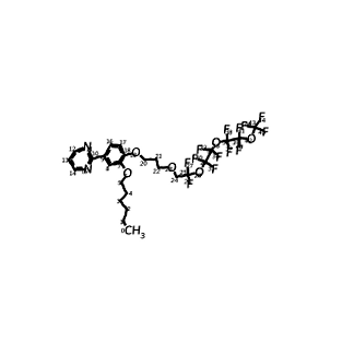 CCCCCCOc1cc(-c2ncccn2)ccc1OCCCOCC(F)(F)OC(F)(F)C(F)(F)OC(F)(F)C(F)(F)OC(F)(F)F